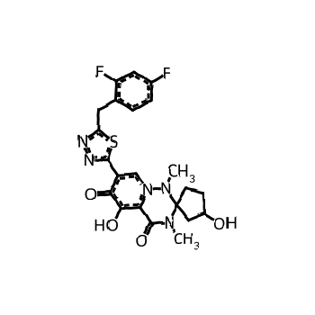 CN1C(=O)c2c(O)c(=O)c(-c3nnc(Cc4ccc(F)cc4F)s3)cn2N(C)C12CCC(O)C2